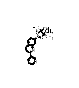 CC1(C)OB(c2ccc3ccc(-c4cccnc4)nc3c2)OC1(C)C